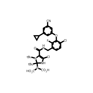 CC(C)(C)N1C(C(=O)NCc2ccc(Cl)c(Oc3cc(C#N)cc(C4CC4)c3)c2F)=C(Cl)NC1(N(C(=O)O)C(=O)O)C(C)(C)C